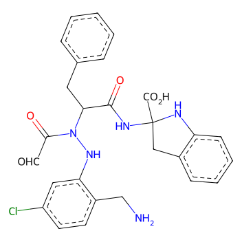 NCc1ccc(Cl)cc1NN(C(=O)C=O)C(Cc1ccccc1)C(=O)NC1(C(=O)O)Cc2ccccc2N1